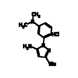 CN(C)c1cccc(-n2nc(C(C)(C)C)cc2N)c1.Cl